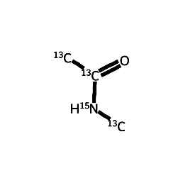 [13CH3][15NH][13C]([13CH3])=O